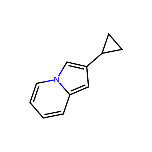 c1ccn2cc(C3CC3)cc2c1